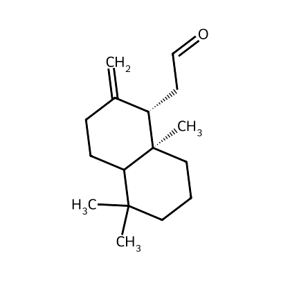 C=C1CCC2C(C)(C)CCC[C@]2(C)[C@H]1CC=O